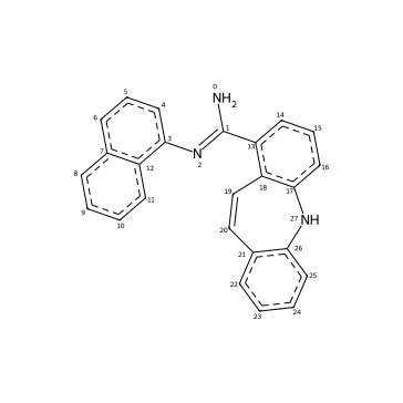 NC(=Nc1cccc2ccccc12)c1cccc2c1C=Cc1ccccc1N2